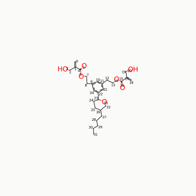 C=C(CO)C(=O)OCCc1cc(CCOC(=O)C(=C)CO)cc(C2CCC(CCCCC)CO2)c1